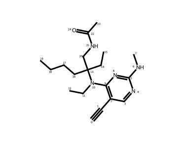 C#Cc1cnc(NC)nc1N(CC)C(CC)(CCCC)CNC(C)=O